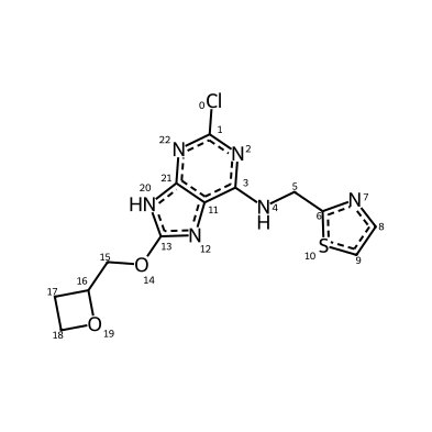 Clc1nc(NCc2nccs2)c2nc(OCC3CCO3)[nH]c2n1